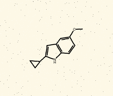 COc1ccc2[nH]c(C3CC3)cc2c1